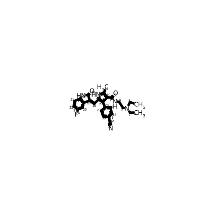 CCN(CC)CCNC(=O)c1c(C)[nH]c(C=C2C(=O)Nc3ccc(F)cc32)c1-c1ccc(C#N)cc1